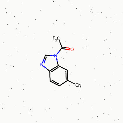 N#Cc1ccc2ncn(C(=O)C(F)(F)F)c2c1